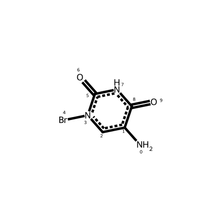 Nc1cn(Br)c(=O)[nH]c1=O